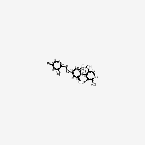 Cc1cnc(Cl)c(F)c1-n1c(C)cc(OCc2ncc(F)cc2F)cc1=O